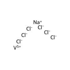 [Cl-].[Cl-].[Cl-].[Cl-].[Cl-].[Cl-].[Na+].[V+5]